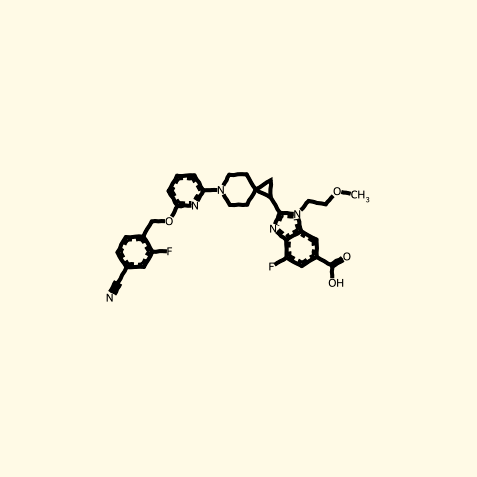 COCCn1c(C2CC23CCN(c2cccc(OCc4ccc(C#N)cc4F)n2)CC3)nc2c(F)cc(C(=O)O)cc21